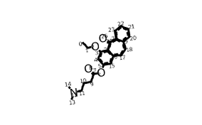 CCOc1cc(OC(=O)CCCN(C)C)cc2ccc3ccccc3c(=O)c12